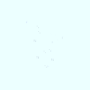 CC(C)c1cc2nc(-c3cnc4c(N)ncnn34)ccn2n1.O=C(O)C(F)(F)F